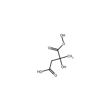 CC(O)(CC(=O)O)C(=O)OO